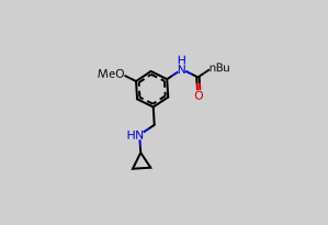 CCCCC(=O)Nc1cc(CNC2CC2)cc(OC)c1